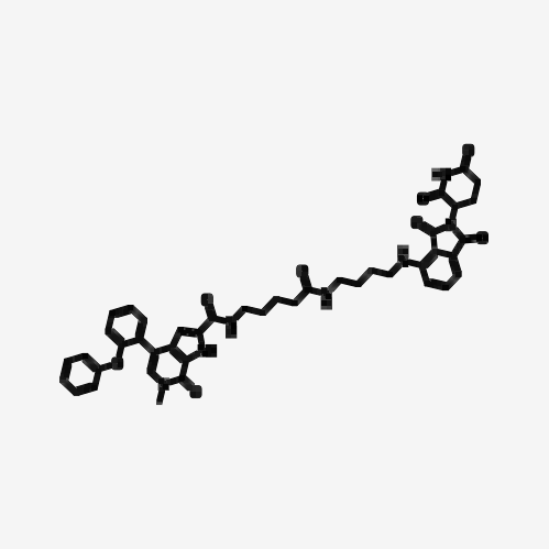 Cn1cc(-c2ccccc2Oc2ccccc2)c2cc(C(=O)NCCCCC(=O)NCCCCNc3cccc4c3C(=O)N(C3CCC(=O)NC3=O)C4=O)[nH]c2c1=O